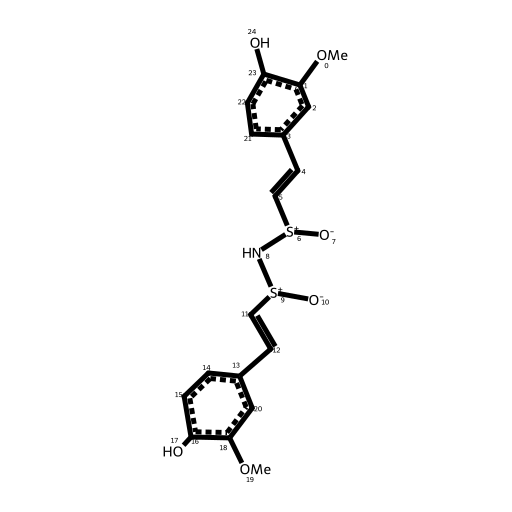 COc1cc(C=C[S+]([O-])N[S+]([O-])C=Cc2ccc(O)c(OC)c2)ccc1O